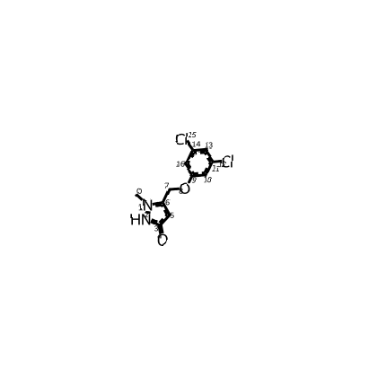 Cn1[nH]c(=O)cc1COc1cc(Cl)cc(Cl)c1